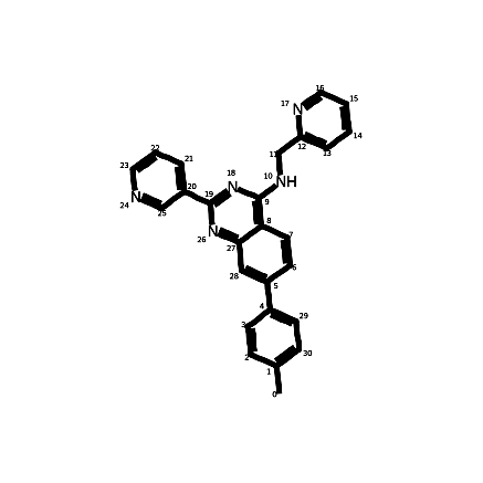 Cc1ccc(-c2ccc3c(NCc4ccccn4)nc(-c4cccnc4)nc3c2)cc1